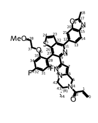 C=CC(=O)N1Cc2cc(-c3nc(-c4ccc5nc(C)oc5c4)c4ccsc4c3-c3c(F)cc(F)cc3OCCOC)nn2C[C@H]1C